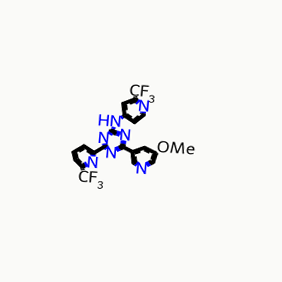 COc1cncc(-c2nc(Nc3ccnc(C(F)(F)F)c3)nc(-c3cccc(C(F)(F)F)n3)n2)c1